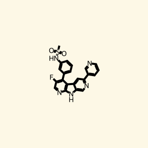 CS(=O)(=O)Nc1cccc(-c2c(F)cnc3[nH]c4cnc(-c5cccnc5)cc4c23)c1